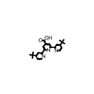 CC(C)(C)c1ccnc(-c2cc(C(=O)O)cc(-c3cc(C(C)(C)C)ccn3)n2)c1